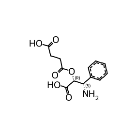 N[C@@H](c1ccccc1)[C@@H](OC(=O)CCC(=O)O)C(=O)O